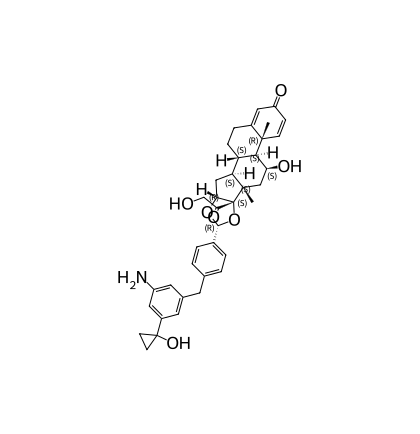 C[C@]12C=CC(=O)C=C1CC[C@@H]1[C@@H]2[C@@H](O)C[C@@]2(C)[C@H]1C[C@H]1O[C@@H](c3ccc(Cc4cc(N)cc(C5(O)CC5)c4)cc3)O[C@]12C(=O)CO